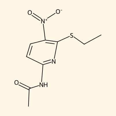 CCSc1nc(NC(C)=O)ccc1[N+](=O)[O-]